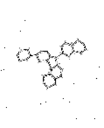 c1cncc(-c2ccc3c(c2)c2c4ccccc4ccc2n3-c2ccc3ccccc3n2)c1